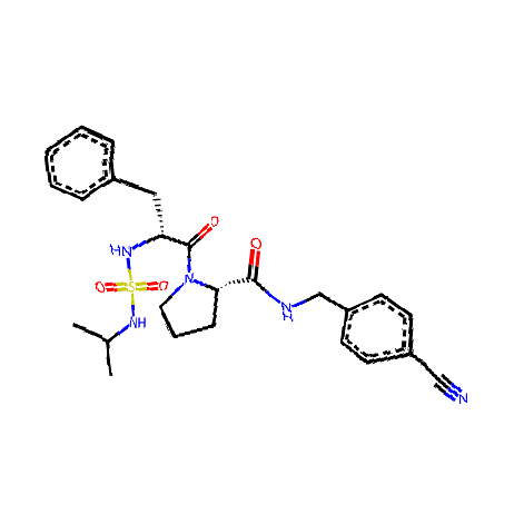 CC(C)NS(=O)(=O)N[C@H](Cc1ccccc1)C(=O)N1CCC[C@H]1C(=O)NCc1ccc(C#N)cc1